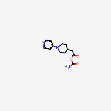 NC(=O)OC(=O)CC1CCN(c2ccncc2)CC1